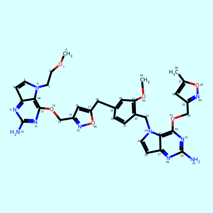 COCCn1ccc2nc(N)nc(OCc3cc(Cc4ccc(Cn5ccc6nc(N)nc(OCc7cc(C)on7)c65)c(OC)c4)on3)c21